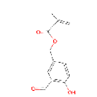 C=C(C)C(=O)OCc1ccc(O)c(C=O)c1